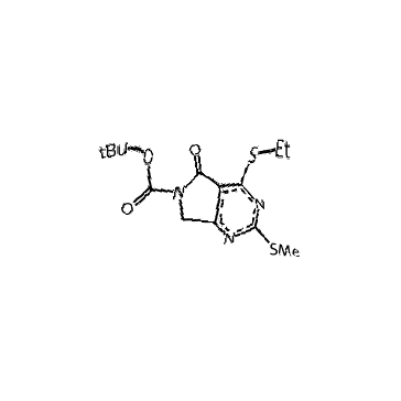 CCSc1nc(SC)nc2c1C(=O)N(C(=O)OC(C)(C)C)C2